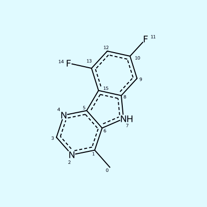 Cc1ncnc2c1[nH]c1cc(F)cc(F)c12